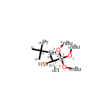 CCCCO[Si](OCCCC)(OCCCC)[C@](S)(CC)[SiH2]C(C)(C)C(C)C